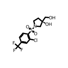 O=S(=O)(c1ccc(C(F)(F)F)cc1Cl)N1CC[C@](O)(CO)C1